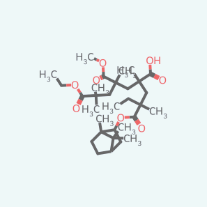 CCOC(=O)C(C)(C)CC(C)(CC(C)(CC(C)(CC)C(=O)OC1CC2CCC1(C)C2(C)C)C(=O)O)C(=O)OC